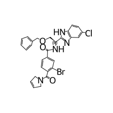 O=C(N[C@@H](COCc1ccccc1)c1nc2cc(Cl)ccc2[nH]1)c1ccc(C(=O)N2CC=CC2)c(Br)c1